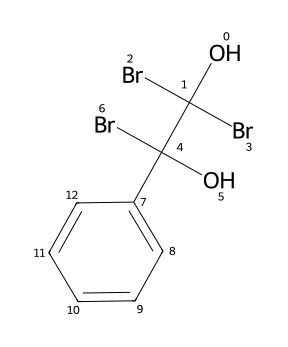 OC(Br)(Br)C(O)(Br)c1ccccc1